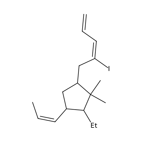 C=C/C=C(/I)CC1CC(/C=C\C)C(CC)C1(C)C